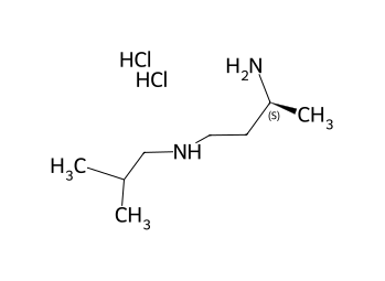 CC(C)CNCC[C@H](C)N.Cl.Cl